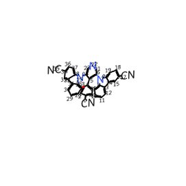 N#Cc1ccc(-c2c(-n3c4ccccc4c4cc(C#N)ccc43)cncc2-n2c3ccccc3c3cc(C#N)ccc32)cc1